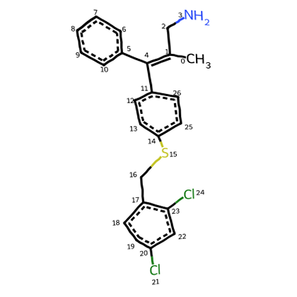 CC(CN)=C(c1ccccc1)c1ccc(SCc2ccc(Cl)cc2Cl)cc1